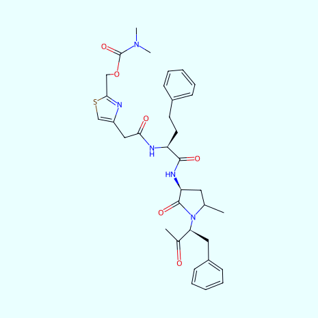 CC(=O)[C@H](Cc1ccccc1)N1C(=O)[C@@H](NC(=O)[C@H](CCc2ccccc2)NC(=O)Cc2csc(COC(=O)N(C)C)n2)CC1C